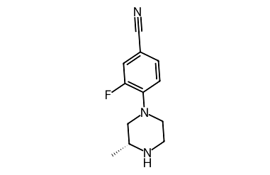 C[C@@H]1CN(c2ccc(C#N)cc2F)CCN1